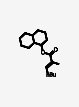 CCCCC=C(C)C(=O)OC1CCCC2CCCCC21